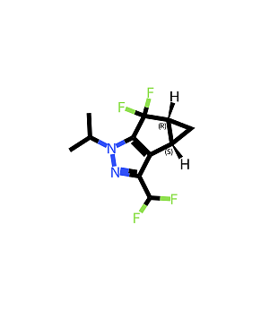 CC(C)n1nc(C(F)F)c2c1C(F)(F)[C@@H]1C[C@H]21